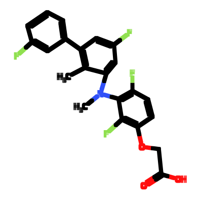 Cc1c(-c2cccc(F)c2)cc(F)cc1N(C)c1c(F)ccc(OCC(=O)O)c1F